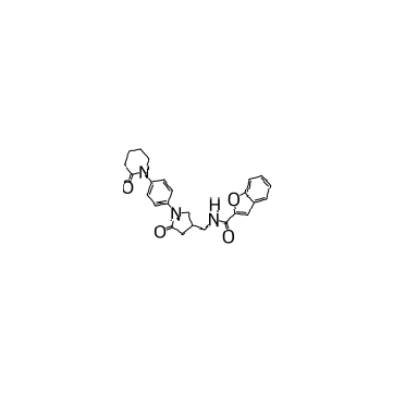 O=C(NCC1CC(=O)N(c2ccc(N3CCCCC3=O)cc2)C1)c1cc2ccccc2o1